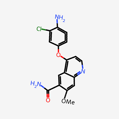 COc1cc2nccc(OC3=C=C=C(N)C(Cl)=C3)c2cc1C(N)=O